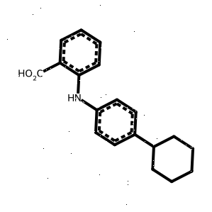 O=C(O)c1ccccc1Nc1ccc(C2CCCCC2)cc1